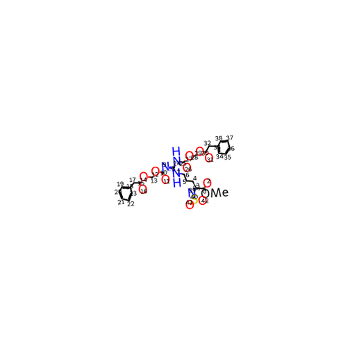 COC(=O)[C@H](CCCN/C(=N\C(=O)OCOC(=O)Cc1ccccc1)NC(=O)OCOC(=O)Cc1ccccc1)N=S(=O)=O